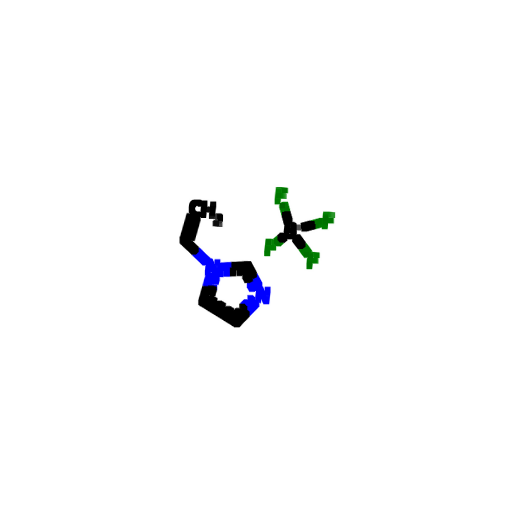 C=Cn1ccnc1.F[B-](F)(F)F